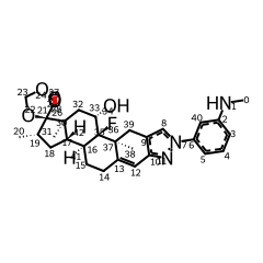 CNc1cccc(-n2cc3c(n2)C=C2CC[C@H]4[C@@H]5C[C@H](C)[C@@]6(OCOC67COCO7)[C@@]5(C)C[C@H](O)[C@]4(F)[C@@]2(C)C3)c1